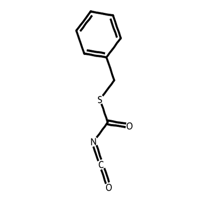 O=C=NC(=O)SCc1ccccc1